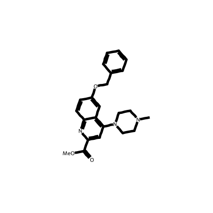 COC(=O)c1cc(N2CCN(C)CC2)c2cc(OCc3ccccc3)ccc2n1